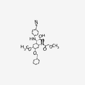 COCC(=O)Nc1cc(OCc2ccccc2)c(OC)cc1C(Nc1ccc(C#N)cc1)C(=O)O